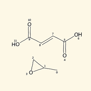 CC1CO1.O=C(O)C=CC(=O)O